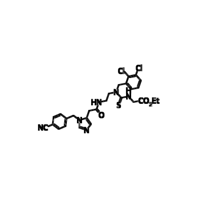 CCOC(=O)CNC(=S)N(CCNC(=O)Cc1cncn1Cc1ccc(C#N)cc1)Cc1cccc(Cl)c1Cl